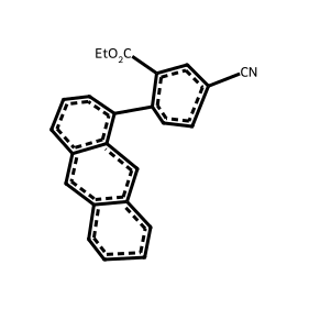 CCOC(=O)c1cc(C#N)ccc1-c1cccc2cc3ccccc3cc12